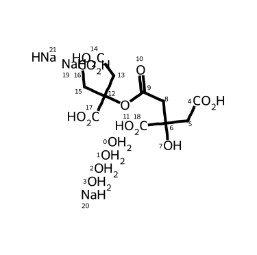 O.O.O.O.O=C(O)CC(O)(CC(=O)OC(CC(=O)O)(CC(=O)O)C(=O)O)C(=O)O.[NaH].[NaH].[NaH]